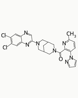 Cc1ccc(-n2cccn2)c(C(=O)N2CC3CC(C2)CN(c2cnc4cc(Cl)c(Cl)cc4n2)C3)n1